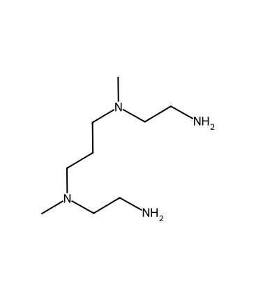 CN(CCN)CCCN(C)CCN